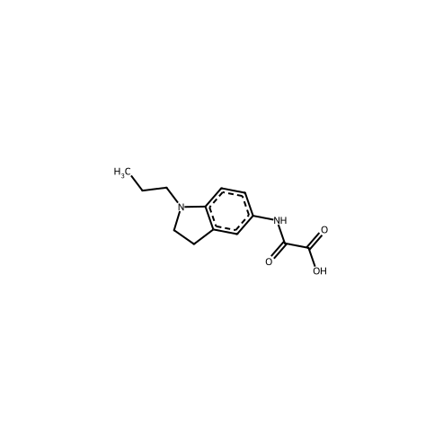 CCCN1CCc2cc(NC(=O)C(=O)O)ccc21